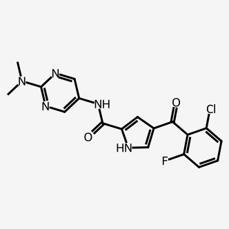 CN(C)c1ncc(NC(=O)c2cc(C(=O)c3c(F)cccc3Cl)c[nH]2)cn1